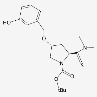 CN(C)C(=S)[C@@H]1C[C@@H](OCc2cccc(O)c2)CN1C(=O)OC(C)(C)C